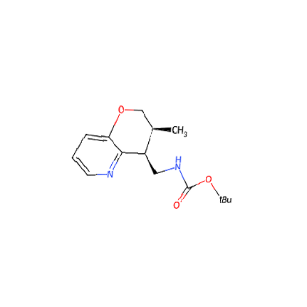 C[C@@H]1COc2cccnc2[C@@H]1CNC(=O)OC(C)(C)C